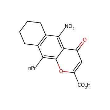 CCCc1c2c(c([N+](=O)[O-])c3c(=O)cc(C(=O)O)oc13)CCCC2